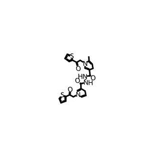 CC1=CCC(C(=O)NNC(=O)C2=CN(CC(=O)c3cccs3)C=CC2)=CN1CC(=O)c1cccs1